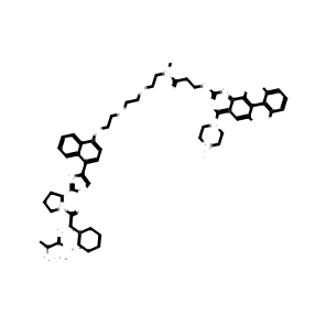 CN[C@@H](C)C(O)N[C@H](C(=O)N1CCC[C@H]1c1nc(-c2ccc(OCCOCCOCCN(C)C(=O)CCNc3nc(N4CCN(C(C)=O)CC4)c4cc(Cl)c(-c5c(O)cccc5F)c(F)c4n3)c3ccccc23)cs1)C1CCCCC1